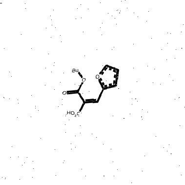 CCC(C)OC(=O)C(=Cc1ccco1)C(=O)O